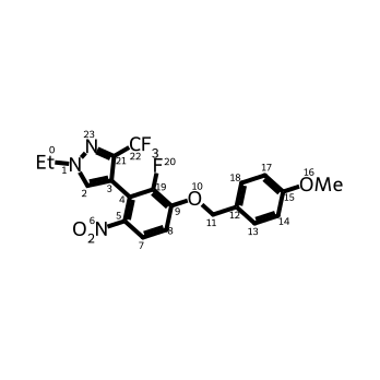 CCn1cc(-c2c([N+](=O)[O-])ccc(OCc3ccc(OC)cc3)c2F)c(C(F)(F)F)n1